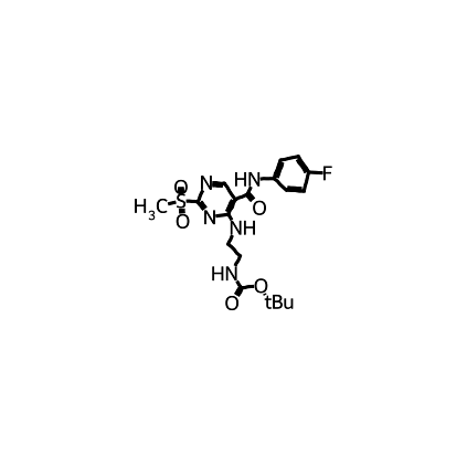 CC(C)(C)OC(=O)NCCNc1nc(S(C)(=O)=O)ncc1C(=O)Nc1ccc(F)cc1